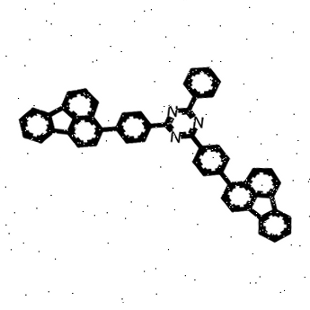 c1ccc(-c2nc(-c3ccc(-c4ccc5c6c(cccc46)-c4ccccc4-5)cc3)nc(-c3ccc(-c4ccc5c6c(cccc46)-c4ccccc4-5)cc3)n2)cc1